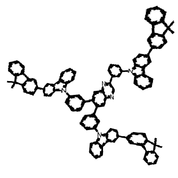 CC1(C)c2ccccc2-c2cc(-c3ccc4c(c3)c3ccccc3n4-c3cccc(-c4cnc5cc(-c6cccc(-n7c8ccccc8c8cc(-c9ccc%10c(c9)-c9ccccc9C%10(C)C)ccc87)c6)c(-c6cccc(-n7c8ccccc8c8cc(-c9ccc%10c(c9)-c9ccccc9C%10(C)C)ccc87)c6)cc5n4)c3)ccc21